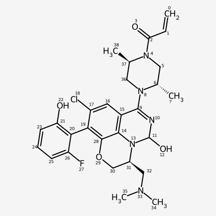 C=CC(=O)N1C[C@H](C)N(C2=NC(O)N3c4c2cc(Cl)c(-c2c(O)cccc2F)c4OC[C@@H]3CN(C)C)C[C@H]1C